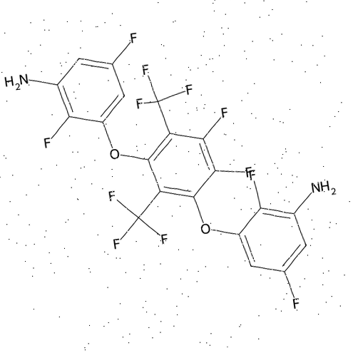 Nc1cc(F)cc(Oc2c(F)c(F)c(C(F)(F)F)c(Oc3cc(F)cc(N)c3F)c2C(F)(F)F)c1F